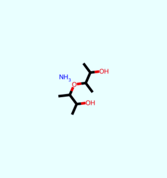 CC(O)C(C)OC(C)C(C)O.N